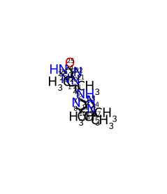 CCC(C)(CNc1ncc(C)c2c1ncn2C(C)(C)C)n1cnc2c(=O)[nH]cnc21